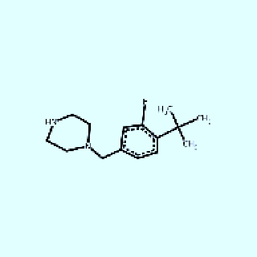 CC(C)(C)c1ccc(CN2CCNCC2)cc1F